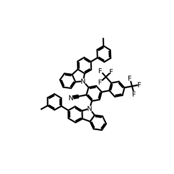 Cc1cccc(-c2ccc3c4ccccc4n(-c4cc(-c5ccc(C(F)(F)F)cc5C(F)(F)F)cc(-n5c6ccccc6c6ccc(-c7cccc(C)c7)cc65)c4C#N)c3c2)c1